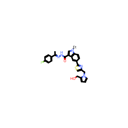 CCn1cc(C(=O)N/N=C(\C)c2ccc(F)cc2)c2cc(-c3nc(Cn4cccc4CO)cs3)ccc21